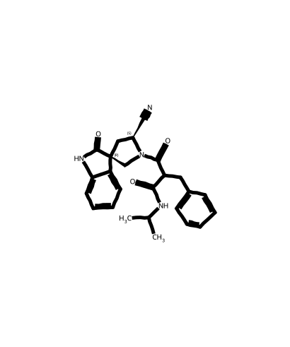 CC(C)NC(=O)C(Cc1ccccc1)C(=O)N1C[C@]2(C[C@H]1C#N)C(=O)Nc1ccccc12